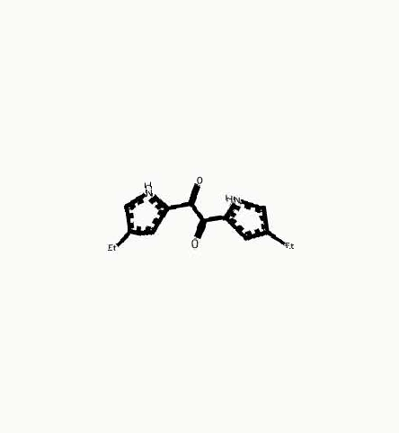 CCc1c[nH]c(C(=O)C(=O)c2cc(CC)c[nH]2)c1